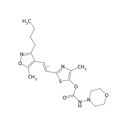 CCCCc1noc(C)c1/C=C/c1nc(C)c(OC(=O)NN2CCOCC2)s1